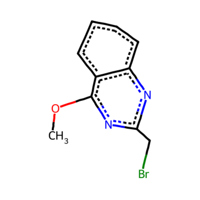 COc1nc(CBr)nc2ccccc12